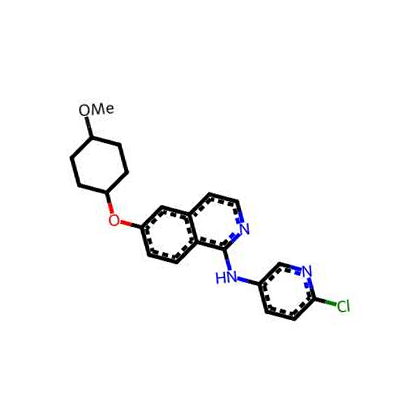 COC1CCC(Oc2ccc3c(Nc4ccc(Cl)nc4)nccc3c2)CC1